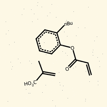 C=C(C)C(=O)O.C=CC(=O)Oc1ccccc1CCCC